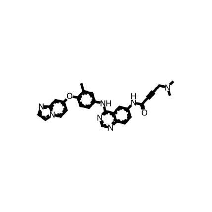 Cc1cc(Nc2ncnc3ccc(NC(=O)C#CCN(C)C)cc23)ccc1Oc1ccn2ccnc2c1